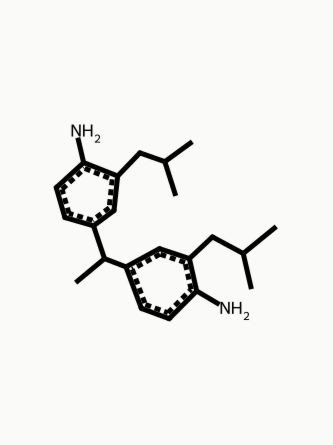 CC(C)Cc1cc(C(C)c2ccc(N)c(CC(C)C)c2)ccc1N